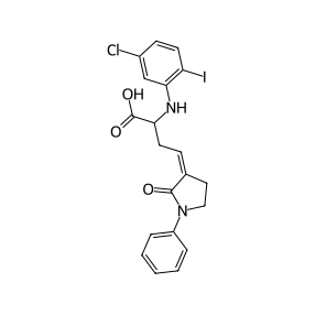 O=C(O)C(C/C=C1/CCN(c2ccccc2)C1=O)Nc1cc(Cl)ccc1I